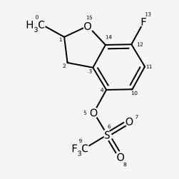 CC1Cc2c(OS(=O)(=O)C(F)(F)F)ccc(F)c2O1